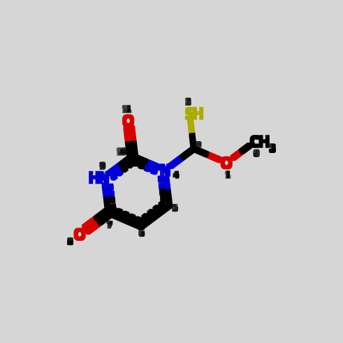 COC(S)n1ccc(=O)[nH]c1=O